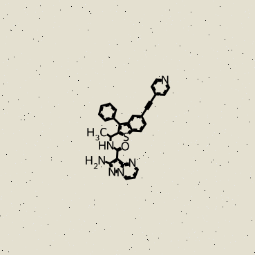 CC(NC(=O)c1c(N)nn2cccnc12)c1sc2ccc(C#Cc3ccncc3)cc2c1-c1ccccc1